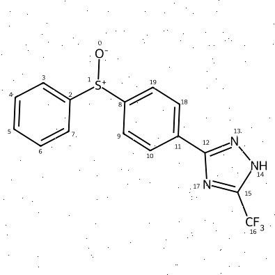 [O-][S+](c1ccccc1)c1ccc(-c2n[nH]c(C(F)(F)F)n2)cc1